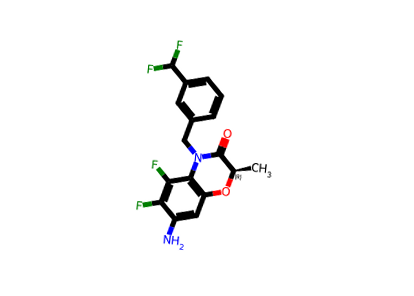 C[C@H]1Oc2cc(N)c(F)c(F)c2N(Cc2cccc(C(F)F)c2)C1=O